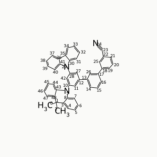 CC1(C)c2ccccc2N(c2cc(-c3cccc(-c4cccc(C#N)c4)c3)cc(-n3c4ccccc4c4ccccc43)c2)c2ccccc21